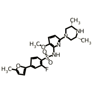 COc1ccc(N2C[C@@H](C)N[C@@H](C)C2)nc1NS(=O)(=O)c1ccc(-c2ccc(C)o2)cc1F